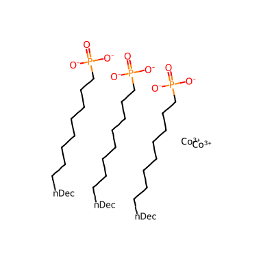 CCCCCCCCCCCCCCCCCCP(=O)([O-])[O-].CCCCCCCCCCCCCCCCCCP(=O)([O-])[O-].CCCCCCCCCCCCCCCCCCP(=O)([O-])[O-].[Co+3].[Co+3]